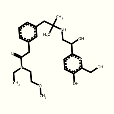 CCN(CCOC)C(=O)Cc1cccc(CC(C)(C)NCC(O)c2ccc(O)c(CO)n2)c1